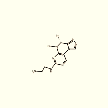 CC[C@@H]1c2nncn2-c2cnc(NCCN)nc2N1C(C)C